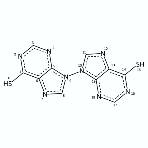 Sc1ncnc2c1ncn2-n1cnc2c(S)ncnc21